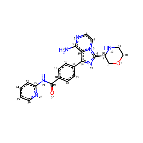 Nc1nccn2c([C@@H]3COCCN3)nc(-c3ccc(C(=O)Nc4ccccn4)cc3)c12